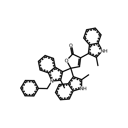 Cc1[nH]c2ccccc2c1C1=CC(c2c(C)[nH]c3ccccc23)(c2c(C)n(Cc3ccccc3)c3ccccc23)OC1=O